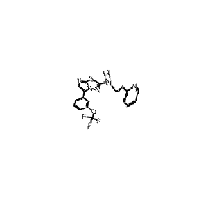 FC(F)(F)Oc1cccc(-c2cnc3sc(NCCc4ccccn4)nn23)c1